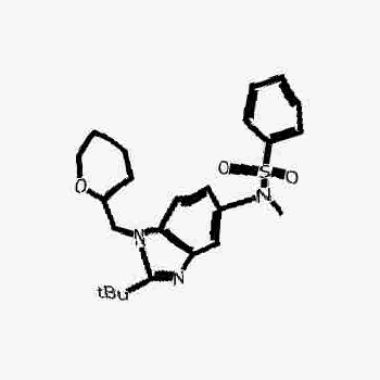 CN(c1ccc2c(c1)nc(C(C)(C)C)n2CC1CCCCO1)S(=O)(=O)c1ccccc1